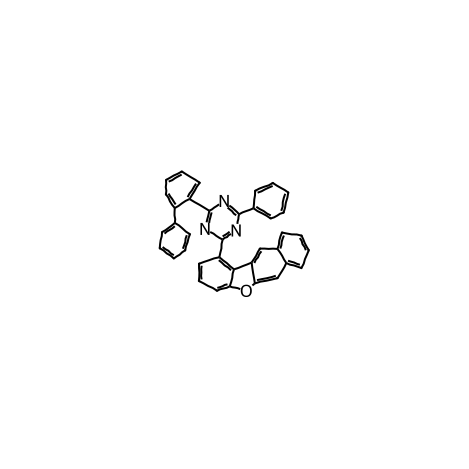 c1ccc(-c2nc(-c3ccccc3-c3ccccc3)nc(-c3cccc4oc5cc6ccccc6cc5c34)n2)cc1